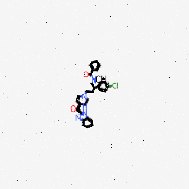 CN(CC(CCN1CCC(C(=O)c2nc3ccccc3[nH]2)CC1)c1ccc(Cl)cc1)C(=O)c1ccccc1